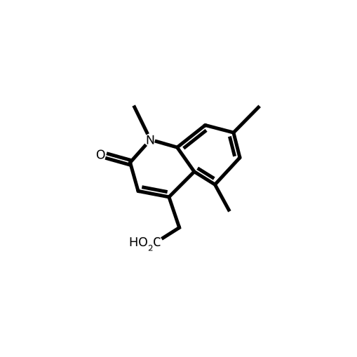 Cc1cc(C)c2c(CC(=O)O)cc(=O)n(C)c2c1